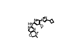 COc1cc(Nc2ncc3c(n2)N(C)C(C)CO3)ncc1-n1cnc(C2CCC2)c1